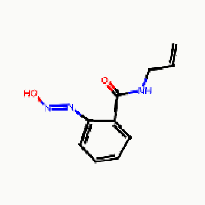 C=CCNC(=O)c1ccccc1N=NO